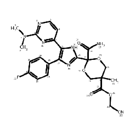 CN(C)c1nccc(-c2[nH]c(C3(C(N)=O)OCC(C)(C(=O)OCC#N)CO3)nc2-c2ccc(F)cc2)n1